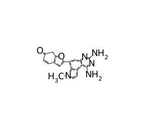 Cn1ccc2c3c(N)nc(N)nc3cc(-c3cc4c(o3)CC(=O)C=C4)c21